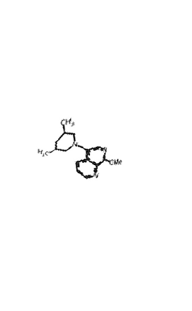 COc1ncc(N2C[C@H](C)C[C@H](C)C2)c2cccnc12